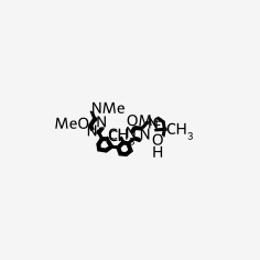 CNCc1ncc(-c2cccc(-c3cccc(-c4cnc(CN5CCC(C)(CO)C5)c(OC)n4)c3Cl)c2C)nc1OC